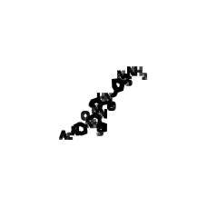 CC(=O)N1CCC(NC(=O)c2c(-c3ccsc3)nc3c(C(=O)NCc4ccc5nc(N)sc5c4)cccn23)CC1